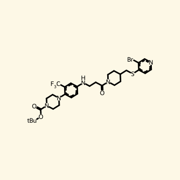 CC(C)(C)OC(=O)N1CCN(c2ccc(NCCC(=O)N3CCC(CSc4ccncc4Br)CC3)cc2C(F)(F)F)CC1